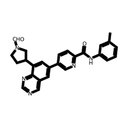 Cc1cccc(NC(=O)c2ccc(-c3cc(C4CCN(C=O)C4)c4ncncc4c3)cn2)c1